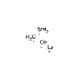 O.[Co].[La].[SrH2]